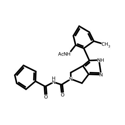 CC(=O)Nc1cccc(C)c1-c1[nH]nc2c1CN(C(=O)NC(=O)c1ccccc1)C2